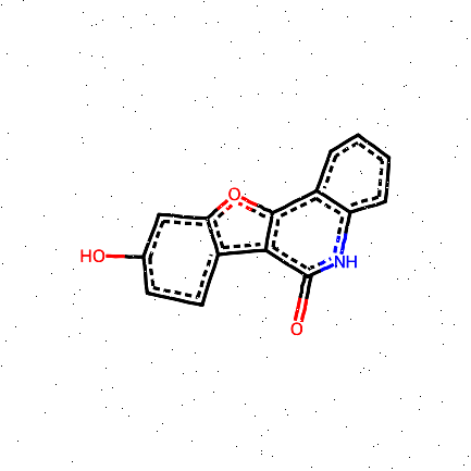 O=c1[nH]c2ccccc2c2oc3cc(O)ccc3c12